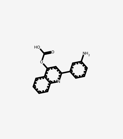 Nc1cccc(-c2cc(OC(=O)O)c3ccccc3n2)c1